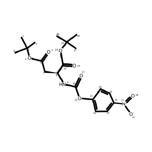 CC(C)(C)OC(=O)C[C@H](NC(=O)Oc1ccc([N+](=O)[O-])cc1)C(=O)OC(C)(C)C